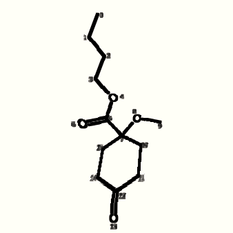 CCCCOC(=O)C1(OC)CCC(=O)CC1